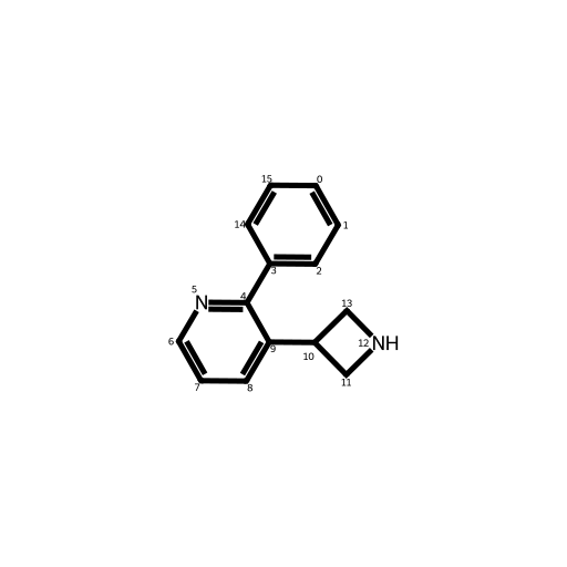 c1ccc(-c2ncccc2C2CNC2)cc1